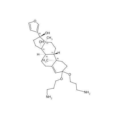 C[C@]12CC[C@H]3[C@@H](CCC4=CC(OCCCN)(OCCCN)CC[C@@]43C)[C@@]1(O)CC[C@]2(O)c1ccoc1